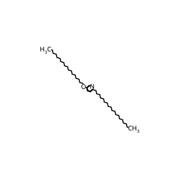 CCCCCCCCCCCCCCCCCCCc1ccc(OCCCCCCCCCCCCCCCCCC)cn1